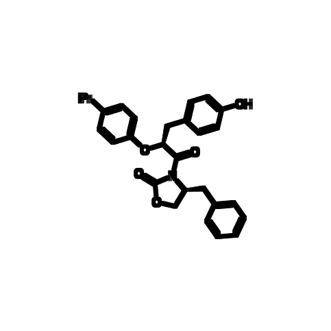 CC(C)c1ccc(O[C@@H](Cc2ccc(O)cc2)C(=O)N2C(=O)OC[C@@H]2Cc2ccccc2)cc1